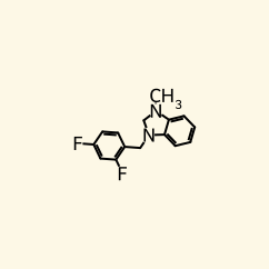 CN1CN(Cc2ccc(F)cc2F)c2ccccc21